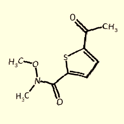 CON(C)C(=O)c1ccc(C(C)=O)s1